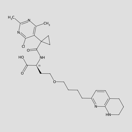 Cc1nc(C)c(C2(C(=O)N[C@@H](CCOCCCCc3ccc4c(n3)NCCC4)C(=O)O)CC2)c(Cl)n1